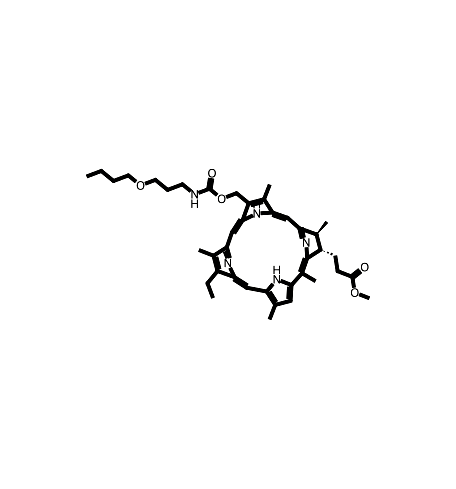 CCCCOCCCNC(=O)OCc1c(C)c2cc3nc(c(C)c4cc(C)c(cc5nc(cc1[nH]2)C(C)=C5CC)[nH]4)[C@@H](CCC(=O)OC)[C@@H]3C